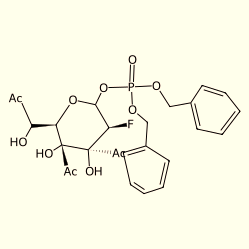 CC(=O)C(O)[C@H]1OC(OP(=O)(OCc2ccccc2)OCc2ccccc2)[C@@H](F)[C@](O)(C(C)=O)[C@@]1(O)C(C)=O